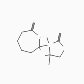 CC1(C)COC(=O)[N+]1(Br)C1(Br)CCCCC(=O)N1